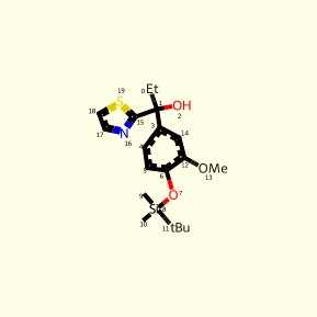 CCC(O)(c1ccc(O[Si](C)(C)C(C)(C)C)c(OC)c1)c1nccs1